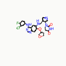 O=C1CCN(c2cnccc2CNc2cc3c(Nc4ccc(F)c(Cl)c4)ncnc3cc2O[C@H]2CCOC2)C(=O)N1